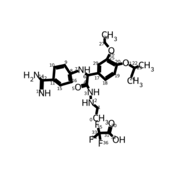 CCNNC(=O)C(Nc1ccc(C(=N)N)cc1)c1ccc(OC(C)C)c(OCC)c1.O=C(O)C(F)(F)F